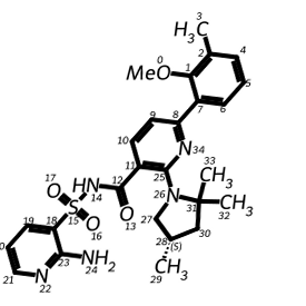 COc1c(C)cccc1-c1ccc(C(=O)NS(=O)(=O)c2cccnc2N)c(N2C[C@@H](C)CC2(C)C)n1